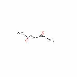 COC(=O)C=CC1=C(C)O1